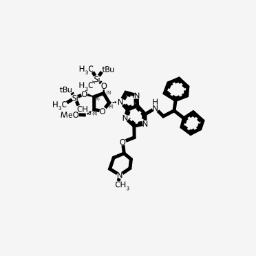 COC[C@H]1O[C@@H](n2cnc3c(NCC(c4ccccc4)c4ccccc4)nc(COC4CCN(C)CC4)nc32)[C@@H](O[Si](C)(C)C(C)(C)C)[C@@H]1O[Si](C)(C)C(C)(C)C